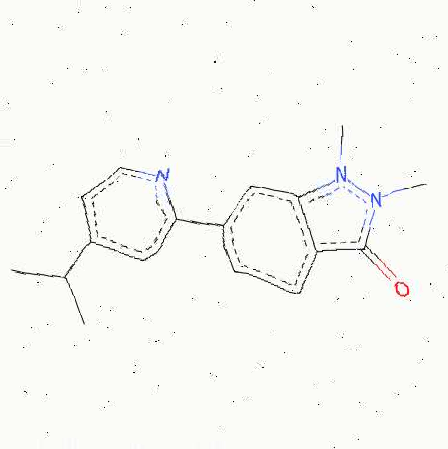 CC(C)c1ccnc(-c2ccc3c(=O)n(C)n(C)c3c2)c1